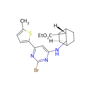 CCOC(=O)[C@@H]1C2CCC(CC2)[C@H]1Nc1cc(-c2ccc(C)s2)nc(Br)n1